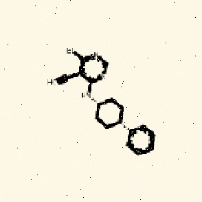 C#Cc1c(CC)ncnc1N[C@H]1CC[C@@H](c2ccccc2)CC1